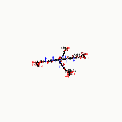 CC(=O)NC1C(OCCOCCNC(=O)CCCC(=O)NCCCC[C@H](NC(=O)CCCC(=O)NCCOCCOC2OC(CO)C(O)C(O)C2NC(C)=O)C(=O)N[C@@H](CCCCNC(=O)CCCC(=O)NCCOCCOC2OC(CO)C(O)C(O)C2NC(C)=O)C(=O)NCCCCCCOP(=O)(O)C(C)(C)C)OC(CO)C(O)C1O